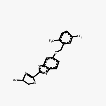 CC(=O)C1CSC(c2nc3ccc(OCc4cc(C(F)(F)F)ccc4C(F)(F)F)cc3s2)=N1